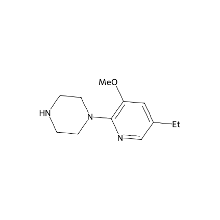 CCc1cnc(N2CCNCC2)c(OC)c1